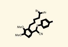 CCCC(Br)CCCCc1c(C(C#N)Sc2ccc(C)cc2)ccc(OC)c1OC